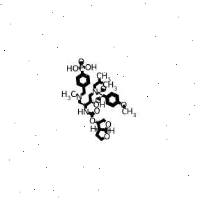 COc1ccc(S(=O)(=O)N(CC(C)C)C[C@@H](O)[C@H](CN(C)Cc2ccc(P(=O)(O)O)cc2)NC(=O)O[C@H]2CO[C@H]3OCC[C@H]32)cc1